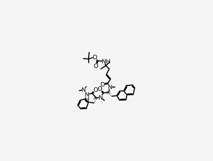 CN(C)NC(=O)[C@@H](Cc1ccccc1)N(C)C(=O)[C@@H](Cc1ccc2ccccc2c1)N(C)C(=O)C=CCC(C)(C)NC(=O)OC(C)(C)C